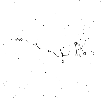 COCCOCCOCCS(=O)(=O)CCC(C)(C)N(Cl)Cl